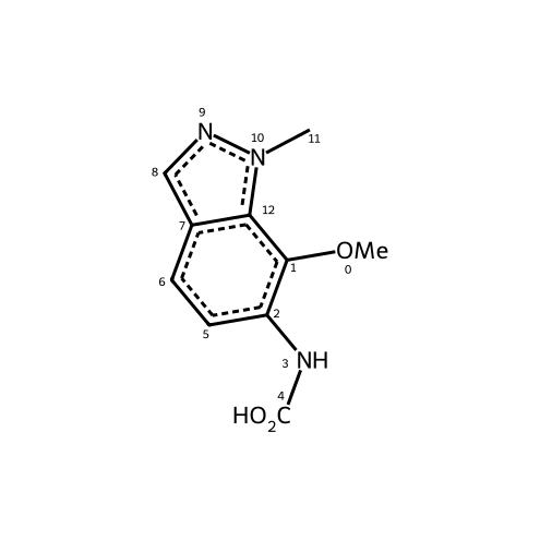 COc1c(NC(=O)O)ccc2cnn(C)c12